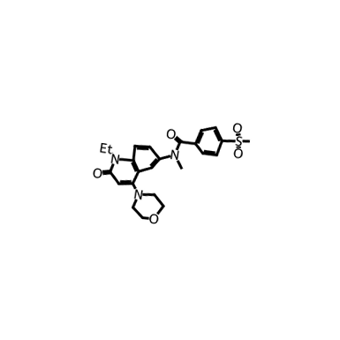 CCn1c(=O)cc(N2CCOCC2)c2cc(N(C)C(=O)c3ccc(S(C)(=O)=O)cc3)ccc21